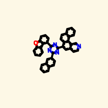 c1ccc2cc(-c3nc(-c4cc5ccncc5c5c4ccc4ccccc45)nc(-c4cccc5oc6ccccc6c45)n3)ccc2c1